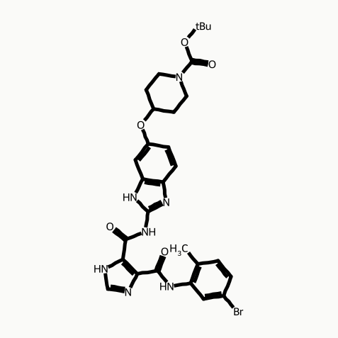 Cc1ccc(Br)cc1NC(=O)c1nc[nH]c1C(=O)Nc1nc2ccc(OC3CCN(C(=O)OC(C)(C)C)CC3)cc2[nH]1